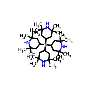 CC1(C)C[CH]([Ti]([CH]2CC(C)(C)NC(C)(C)C2)([CH]2CC(C)(C)NC(C)(C)C2)[CH]2CC(C)(C)NC(C)(C)C2)CC(C)(C)N1